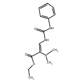 CCOC(=O)C(=CNC(=O)Nc1ccccc1)N(C)C